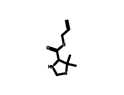 C=CCOC(=O)C1NCSC1(C)C